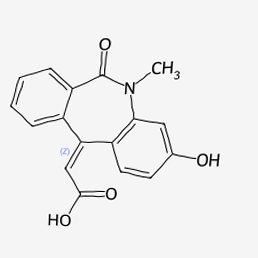 CN1C(=O)c2ccccc2/C(=C/C(=O)O)c2ccc(O)cc21